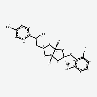 Oc1ccc(C(O)CN2C[C@@H]3C[C@@](O)(Cc4c(F)cccc4F)C[C@@H]3C2)nc1